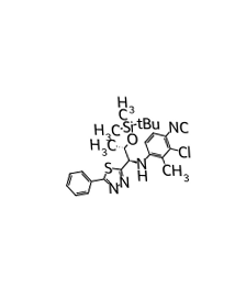 [C-]#[N+]c1ccc(N[C@@H](c2nnc(-c3ccccc3)s2)[C@H](C)O[Si](C)(C)C(C)(C)C)c(C)c1Cl